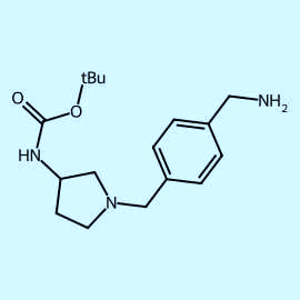 CC(C)(C)OC(=O)NC1CCN(Cc2ccc(CN)cc2)C1